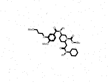 COCCCOc1cc(C(=O)N(C(C)C)C2CCC(CC(=O)N(C(C)C)C3CCCCC3)N(C(=O)OC(C)(C)C)C2)ccc1OC